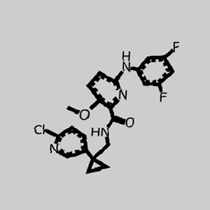 COc1ccc(Nc2cc(F)cc(F)c2)nc1C(=O)NCC1(c2ccc(Cl)nc2)CC1